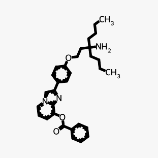 CCCCC(N)(CCCC)CCOc1ccc(-c2cn3cccc(OC(=O)c4ccccc4)c3n2)cc1